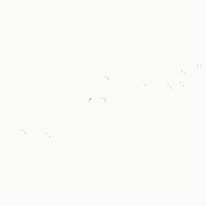 CN1CCN(C[C@H]2CC[C@H](C(=O)Nc3cc4nc(-c5cn(C)nn5)ccc4cn3)CC2)CC1